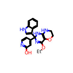 CCOC1=NC(c2ccnc(O)c2)(c2c[nH]c3ccccc23)NC2=C1OCCN2